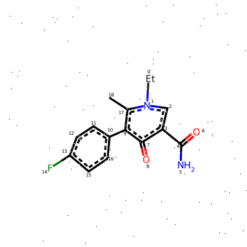 CCn1cc(C(N)=O)c(=O)c(-c2ccc(F)cc2)c1C